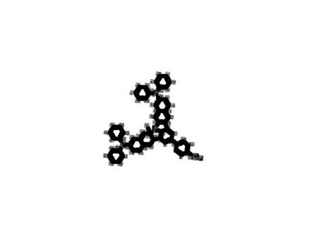 CC(C)(C)c1ccc(-c2cc3c4c(c2)c2cc5ccc(N(c6ccccc6)c6ccccc6)cc5cc2n4C2(C)C=c4cc(N(c5ccccc5)c5ccccc5)ccc4=CC32)cc1